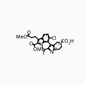 COC(=O)CCc1c(C(=O)OC)n(C)c2c(-c3c(CI)nn4c3CN(C(=O)O)CC4)c(Cl)ccc12